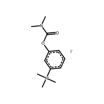 CN(C)C(=O)Oc1cccc([N+](C)(C)C)c1.[I-]